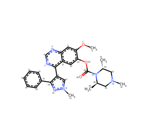 COc1cc2ncnc(-c3cn(C)nc3-c3ccccc3)c2cc1OC(=O)N1[C@H](C)CN(C)C[C@H]1C